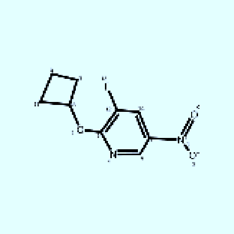 O=[N+]([O-])c1cnc(OC2CCC2)c(F)c1